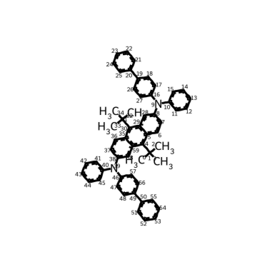 CC(C)(C)c1c2ccc(N(c3ccccc3)c3ccc(-c4ccccc4)cc3)cc2c(C(C)(C)C)c2ccc(N(c3ccccc3)c3ccc(-c4ccccc4)cc3)cc12